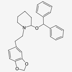 c1ccc(C(OC2CCCCN2CCc2ccc3c(c2)OCO3)c2ccccc2)cc1